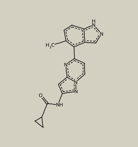 Cc1ccc2[nH]ncc2c1-c1ccn2nc(NC(=O)C3CC3)cc2n1